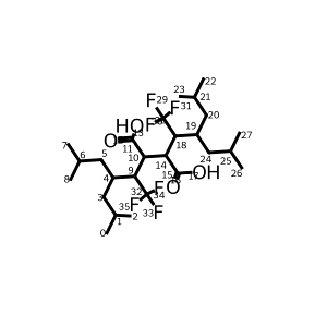 CC(C)CC(CC(C)C)C(C(C(=O)O)C(C(=O)O)C(C(CC(C)C)CC(C)C)C(F)(F)F)C(F)(F)F